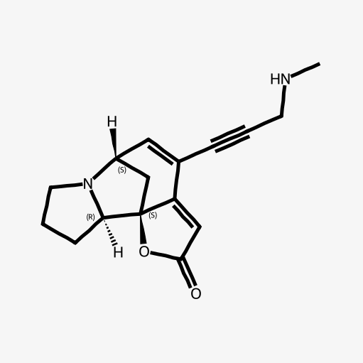 CNCC#CC1=C[C@@H]2C[C@@]3(OC(=O)C=C13)[C@H]1CCCN21